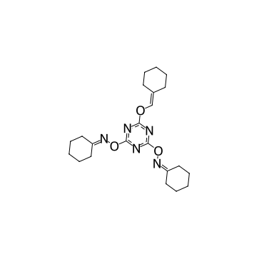 C(Oc1nc(ON=C2CCCCC2)nc(ON=C2CCCCC2)n1)=C1CCCCC1